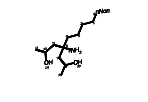 CCCCCCCCCCCCCC(N)(CC(C)O)CC(C)O